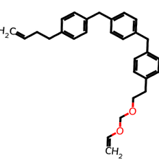 C=CCCc1ccc(Cc2ccc(Cc3ccc(CCOCOC=C)cc3)cc2)cc1